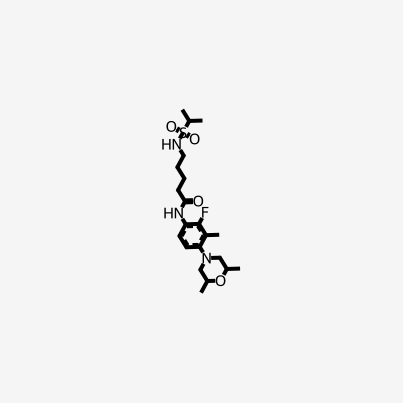 Cc1c(N2CC(C)OC(C)C2)ccc(NC(=O)CCCCNS(=O)(=O)C(C)C)c1F